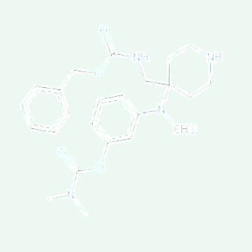 CN(C)C(=O)Oc1cccc(N(C=O)C2(CNC(=O)OCc3ccccc3)CCNCC2)c1